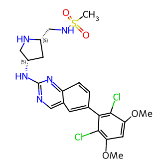 COc1cc(OC)c(Cl)c(-c2ccc3nc(N[C@@H]4CN[C@H](CNS(C)(=O)=O)C4)ncc3c2)c1Cl